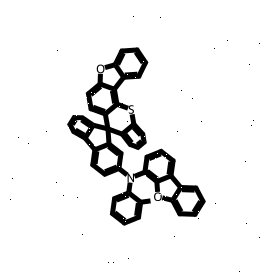 Cc1ccccc1N(c1ccc2c(c1)C1(c3ccccc3Sc3c1ccc1oc4ccccc4c31)c1ccccc1-2)c1cccc2c1oc1ccccc12